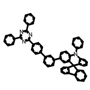 c1ccc(-c2nc(-c3ccccc3)nc(-c3ccc(-c4cccc(-c5ccc6c(c5)C5(c7ccccc7-c7ccccc75)c5ccccc5N6c5ccccc5)c4)cc3)n2)cc1